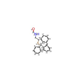 O=CNCCSC(c1ccccc1)(c1ccccc1)c1ccccc1